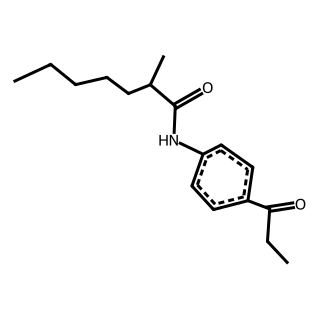 CCCCCC(C)C(=O)Nc1ccc(C(=O)CC)cc1